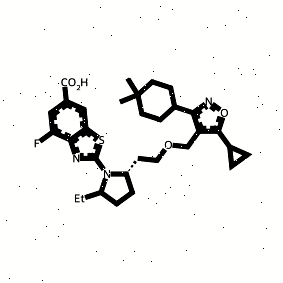 CCC1CC[C@@H](CCOCc2c(C3CCC(C)(C)CC3)noc2C2CC2)N1c1nc2c(F)cc(C(=O)O)cc2s1